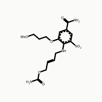 COCCCOc1cc(C(N)=O)cc([N+](=O)[O-])c1NCC=CCOC(N)=O